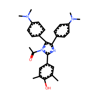 CC(=O)n1c(-c2cc(C)c(O)c(C)c2)nc(-c2ccc(N(C)C)cc2)c1-c1ccc(N(C)C)cc1